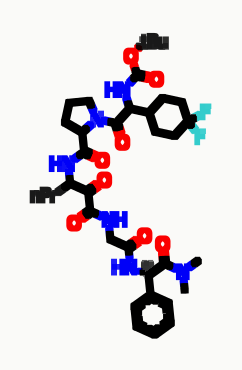 CCCC(NC(=O)C1CCCN1C(=O)C(NC(=O)OC(C)(C)C)C1CCC(F)(F)CC1)C(=O)C(=O)NCC(=O)N[C@H](C(=O)N(C)C)c1ccccc1